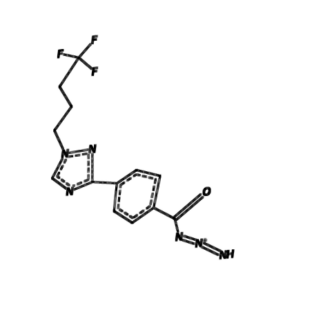 N=[N+]=NC(=O)c1ccc(-c2ncn(CCCC(F)(F)F)n2)cc1